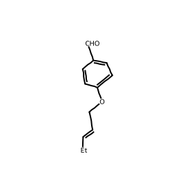 CCC=CCOc1ccc(C=O)cc1